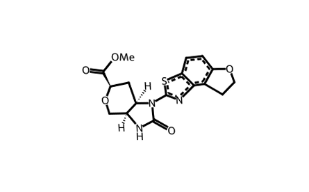 COC(=O)[C@H]1C[C@@H]2[C@H](CO1)NC(=O)N2c1nc2c3c(ccc2s1)OCC3